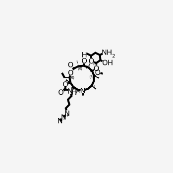 CC[C@H]1OC(=O)[C@H](C)C(O)[C@H](C)[C@@H](O[C@@H]2OC(C)CC(N)C2O)[C@](C)(OC)C[C@@H](C)CN(C)[C@H](C)[C@H]2N(CCCCN=[N+]=[N-])C(=O)O[C@]12C